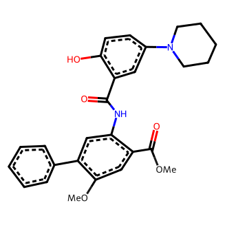 COC(=O)c1cc(OC)c(-c2ccccc2)cc1NC(=O)c1cc(N2CCCCC2)ccc1O